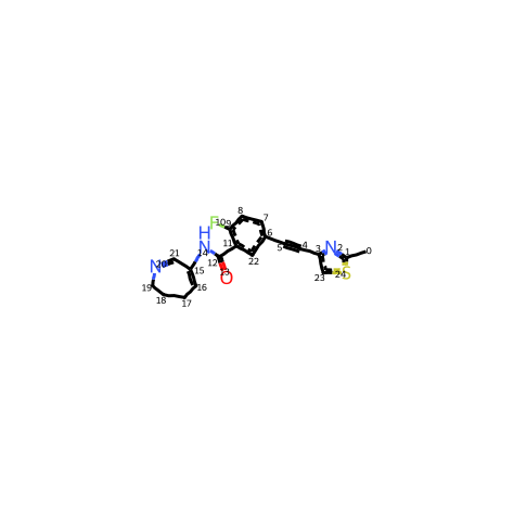 Cc1nc(C#Cc2ccc(F)c(C(=O)NC3=CCCCN=C3)c2)cs1